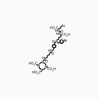 CC(=O)CC[C@@H](NC(=O)N[C@H](CCCCN(Cc1ccc(Br)nc1)C(=O)c1ccc(CNC(=O)CCCCNC(=O)CN2CCN(CC(=O)O)CCN(CC(=O)O)CCN(CC(=O)O)CC2)cc1)C(=O)O)C(=O)O